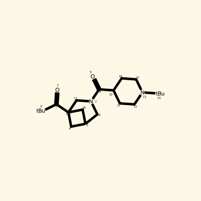 CC(C)(C)C(=O)C12CC(CN(C(=O)C3CCN(C(C)(C)C)CC3)C1)C2